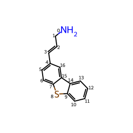 NCC=Cc1ccc2sc3ccccc3c2c1